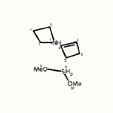 C1=CCC1.C1CNC1.CO[SiH2]OC